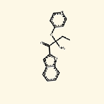 CCC(N)(Oc1ccncc1)C(=O)c1cc2ccccc2s1